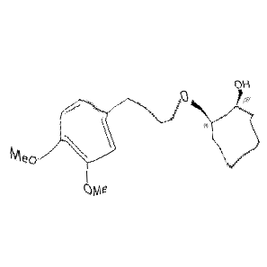 COc1ccc(CCO[C@@H]2CCCC[C@@H]2O)cc1OC